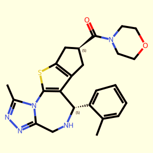 Cc1ccccc1[C@@H]1NCc2nnc(C)n2-c2sc3c(c21)C[C@H](C(=O)N1CCOCC1)C3